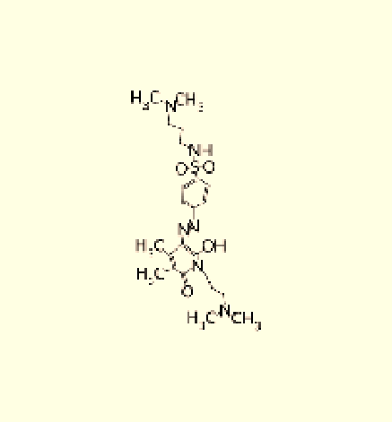 Cc1c(/N=N/c2ccc(S(=O)(=O)NCCCN(C)C)cc2)c(O)n(CCCN(C)C)c(=O)c1C